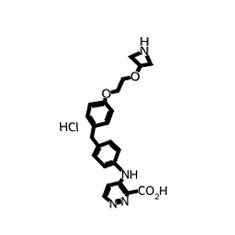 Cl.O=C(O)c1nnccc1Nc1ccc(Cc2ccc(OCCOC3CNC3)cc2)cc1